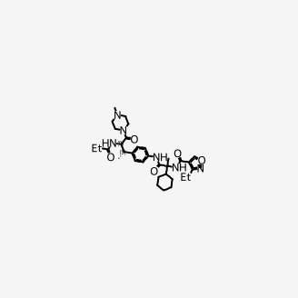 CCC(=O)N[C@@H](C(=O)N1CCN(C)CC1)[C@@H](C)c1ccc(NC(=O)C(C)(NC(=O)c2conc2CC)C2CCCCC2)cc1